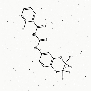 O=C(NC(=S)Nc1ccc2c(c1)OC(F)(F)C(F)(F)O2)c1ccccc1F